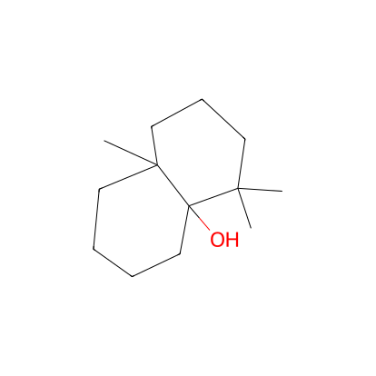 CC1(C)CCCC2(C)CCCCC12O